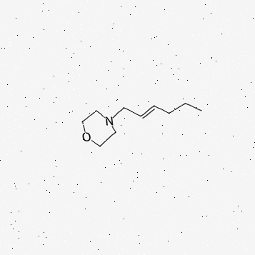 CCCC=CCN1CCOCC1